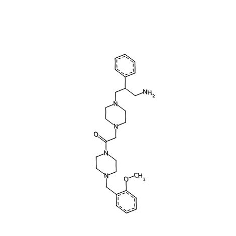 COc1ccccc1CN1CCN(C(=O)CN2CCN(CC(CN)c3ccccc3)CC2)CC1